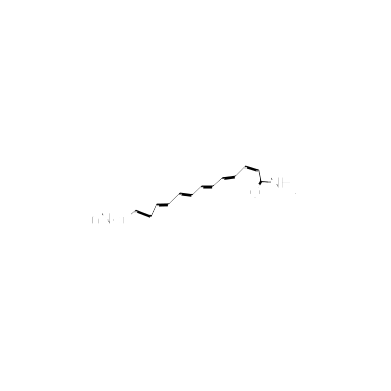 CCCCCCCCCC=CC=CC=CC=CC=C/C=C\C(N)=O